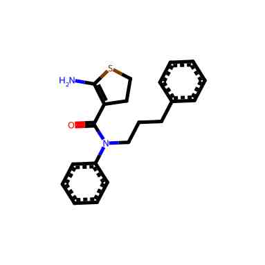 NC1=C(C(=O)N(CCCc2ccccc2)c2ccccc2)CCS1